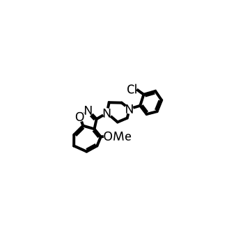 COC1=c2c(N3CCN(c4ccccc4Cl)CC3)noc2=CCC=C1